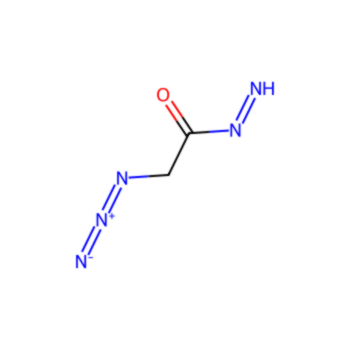 [N-]=[N+]=NCC(=O)N=N